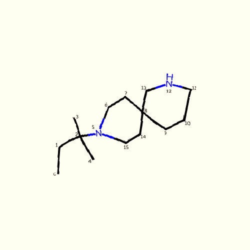 CCC(C)(C)N1CCC2(CCCNC2)CC1